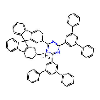 CC1C=CC2=C(C1)C1(c3ccccc32)c2ccccc2-c2ccc(-c3nc(-c4cc(-c5ccccc5)cc(-c5ccccc5)c4)nc(-c4cc(-c5ccccc5)cc(-c5ccccc5)c4)n3)cc21